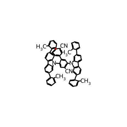 Cc1ccccc1-c1ccc2c3ccc(-c4ccccc4C)cc3n(-c3cc(-c4cccc(C#N)c4)c(-n4c5cc(-c6ccccc6C)ccc5c5ccc(-c6ccccc6C)cc54)cc3C#N)c2c1